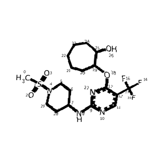 CS(=O)(=O)N1CCC(Nc2ncc(C(F)(F)F)c(OC3CCCCCC3O)n2)CC1